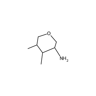 CC1COCC(N)C1C